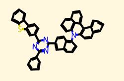 c1ccc(-c2nc(-c3ccc4c(N5c6ccc7ccccc7c6-c6cccc7cccc5c67)cccc4c3)nc(-c3ccc4c(c3)sc3ccccc34)n2)cc1